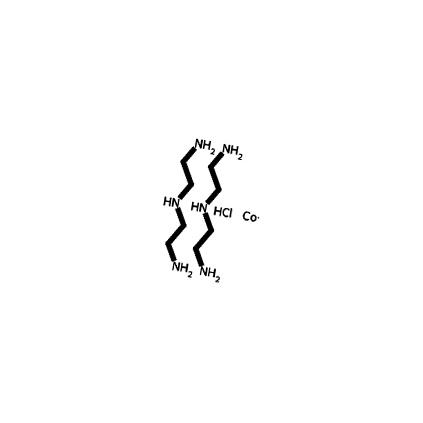 Cl.NCCNCCN.NCCNCCN.[Co]